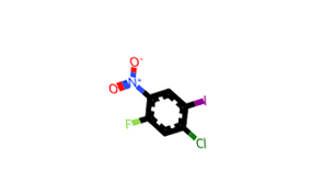 O=[N+]([O-])c1cc(I)c(Cl)cc1F